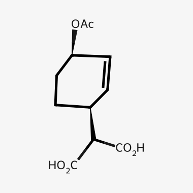 CC(=O)O[C@H]1C=C[C@@H](C(C(=O)O)C(=O)O)CC1